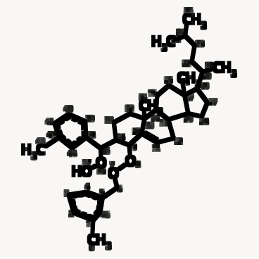 Cc1cccc(COOC2C3=CCC4C(CCC5(C)C(C(C)CCC(C)C)CCC45)C3(C)CCC2C(OO)c2cccc(C)c2)c1